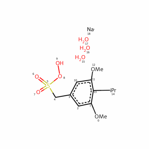 COc1cc(CS(=O)(=O)OO)cc(OC)c1C(C)C.O.O.O.[Na]